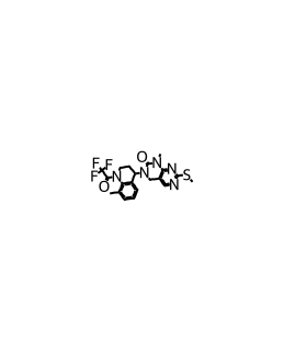 CSc1ncc2c(n1)N(C)C(=O)N(C1CCN(C(=O)C(F)(F)F)c3c(C)cccc31)C2